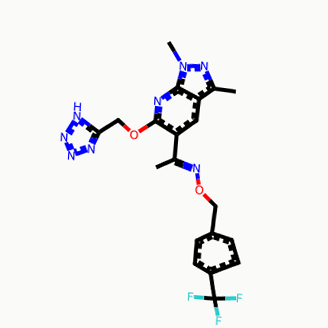 CC(=NOCc1ccc(C(F)(F)F)cc1)c1cc2c(C)nn(C)c2nc1OCc1nnn[nH]1